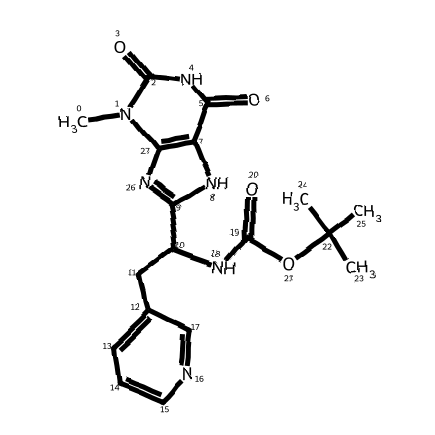 Cn1c(=O)[nH]c(=O)c2[nH]c(C(Cc3cccnc3)NC(=O)OC(C)(C)C)nc21